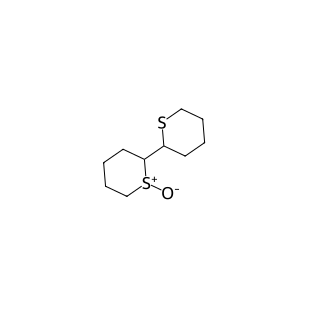 [O-][S+]1CCCCC1C1CCCCS1